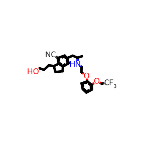 CC(Cc1cc(C#N)c2c(c1)CCC2CCCO)NCCOc1ccccc1OCC(F)(F)F